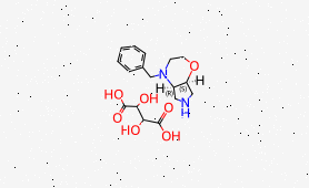 O=C(O)C(O)C(O)C(=O)O.c1ccc(CN2CCO[C@H]3CNC[C@H]32)cc1